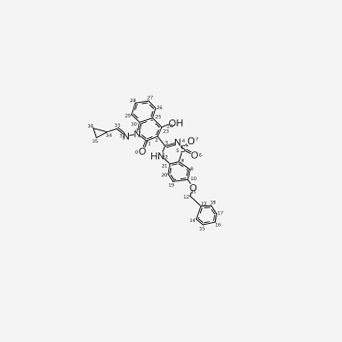 O=c1c(C2=NS(=O)(=O)c3cc(OCc4ccccc4)ccc3N2)c(O)c2ccccc2n1N=CC1CC1